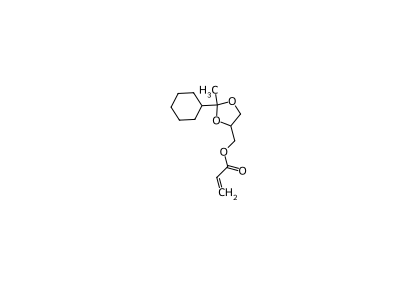 C=CC(=O)OCC1COC(C)(C2CCCCC2)O1